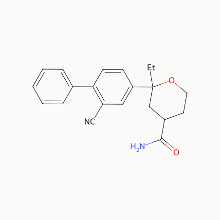 CCC1(c2ccc(-c3ccccc3)c(C#N)c2)CC(C(N)=O)CCO1